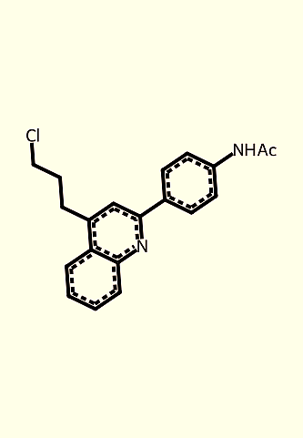 CC(=O)Nc1ccc(-c2cc(CCCCl)c3ccccc3n2)cc1